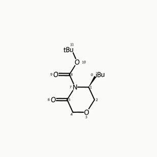 CCC(C)[C@H]1COCC(=O)N1C(=O)OC(C)(C)C